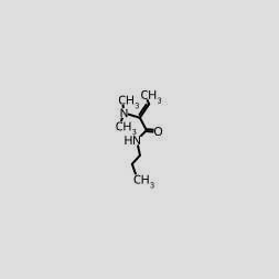 CC=C(C(=O)NCCC)N(C)C